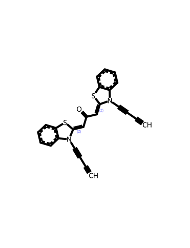 C#CC#CN1/C(=C/C(=O)/C=C2\Sc3ccccc3N2C#CC#C)Sc2ccccc21